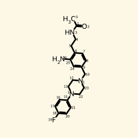 CC(=O)NCCc1ccc(CN2CCN(c3ccc(F)cc3)CC2)cc1N